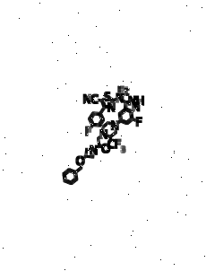 CCN(c1nc(-c2ccc(F)cc2)c(C#N)s1)c1[nH]nc2c(F)cc(N3CCN(CC(=O)N4CC(OCc5ccccc5)C4)C(C(F)(F)F)C3)cc12